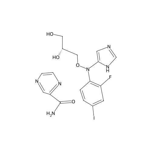 NC(=O)c1cnccn1.OC[C@@H](O)CON(c1cnc[nH]1)c1ccc(I)cc1F